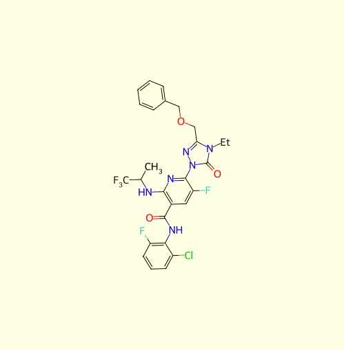 CCn1c(COCc2ccccc2)nn(-c2nc(NC(C)C(F)(F)F)c(C(=O)Nc3c(F)cccc3Cl)cc2F)c1=O